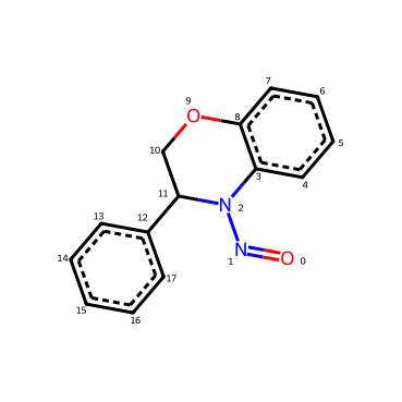 O=NN1c2ccccc2OCC1c1ccccc1